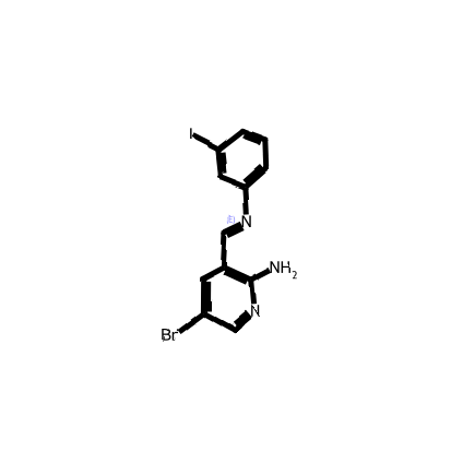 Nc1ncc(Br)cc1/C=N/c1cccc(I)c1